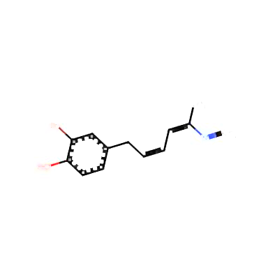 C=N/C(C)=C\C=C/Cc1ccc(O)c(Br)c1